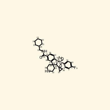 CC(=O)[N+]1(S(=O)(=O)c2ccc(F)cc2)c2ccc(C(=O)NCC3CCCCC3)cc2C2(CCNCC2)C1C1CC1